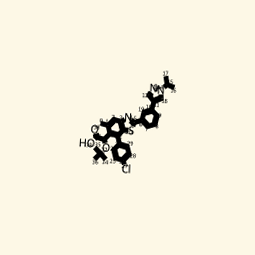 Cc1cc2nc(-c3cccc(-c4cnn(C(C)C)c4)c3)sc2c(-c2ccc(Cl)cc2)c1C(OC(C)(C)C)C(=O)O